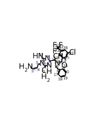 C=C(/N=C\C=C/N)N/C(=N\C=N)C(C)N(Cc1ccccc1)C(=O)c1cc(Cl)cc(C(F)(F)F)c1